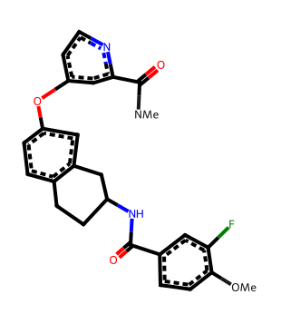 CNC(=O)c1cc(Oc2ccc3c(c2)CC(NC(=O)c2ccc(OC)c(F)c2)CC3)ccn1